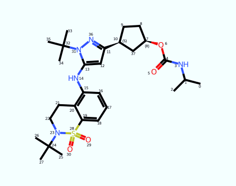 CC(C)NC(=O)O[C@@H]1CC[C@H](c2cc(Nc3cccc4c3CCN(C(C)(C)C)S4(=O)=O)n(C(C)(C)C)n2)C1